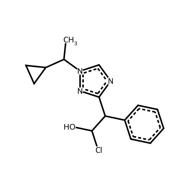 CC(C1CC1)n1cnc(C(c2ccccc2)C(O)Cl)n1